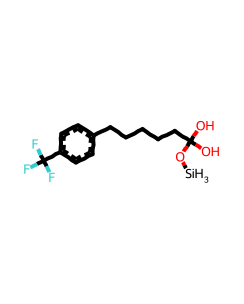 OC(O)(CCCCCc1ccc(C(F)(F)F)cc1)O[SiH3]